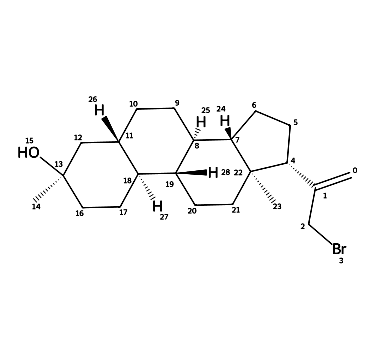 C=C(CBr)[C@H]1CC[C@H]2[C@@H]3CC[C@H]4C[C@](C)(O)CC[C@@H]4[C@H]3CC[C@]12C